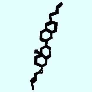 C=CCCc1ccc2c(c1)CCC(C1CCC3C[C@H](OC/C=C/C)CC[C@@H]3C1)C2